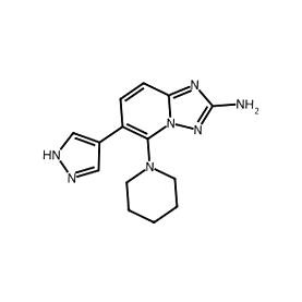 Nc1nc2ccc(-c3cn[nH]c3)c(N3CCCCC3)n2n1